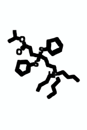 CCCC[PH](CCCC)(CCCC)CCCC(CCC(=O)OC(C)C)(Sc1ccccc1)Sc1ccccc1